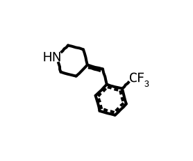 FC(F)(F)c1ccccc1C=C1CCNCC1